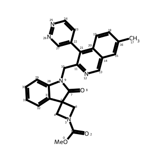 COC(=O)N1CC2(C1)C(=O)N(Cc1ncc3cc(C)ccc3c1-c1ccnnc1)c1ccccc12